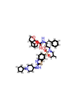 CC(C)CN(C[C@@H](O)[C@H](Cc1ccccc1)NC(=O)OC1C2COC3OCC1C3C2)S(=O)(=O)c1ccc2nc(NC3CCN(C4CCCC4)CC3)sc2c1